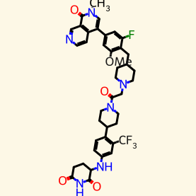 COc1cc(-c2cn(C)c(=O)c3cnccc23)cc(F)c1CC1CCN(CC(=O)N2CCC(c3ccc(NC4CCC(=O)NC4=O)cc3C(F)(F)F)CC2)CC1